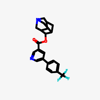 O=C(OC1C2CC3CC1CN(C3)C2)c1cncc(-c2ccc(C(F)(F)F)cc2)c1